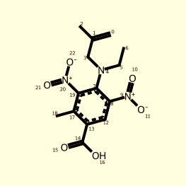 C=C(C)CN(CC)c1c([N+](=O)[O-])cc(C(=O)O)c(C)c1[N+](=O)[O-]